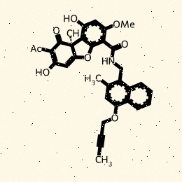 CC#CCOc1cc(C)c(CNC(=O)c2c(OC)cc(O)c3c2OC2=CC(O)=C(C(C)=O)C(=O)[C@]23C)c2ccccc12